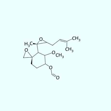 COC1C(OC=O)CC[C@]2(CO2)C1[C@]1(C)OC1CC=C(C)C